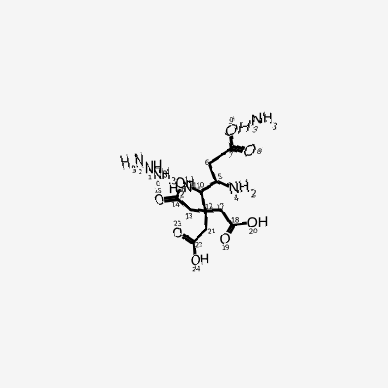 N.N.N.N.NC(CC(=O)O)C(N)C(CC(=O)O)(CC(=O)O)CC(=O)O